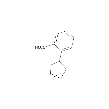 O=C(O)c1ccccc1C1CC=CC1